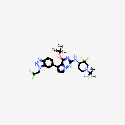 [2H]C([2H])([2H])Oc1nc(N[C@@H]2CCN(C([2H])([2H])[2H])CC2(F)F)nn2ccc(-c3ccc4nnn(CC(F)F)c4c3)c12